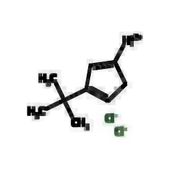 CC(C)(C)C1=CC[C]([Hf+2])=C1.[Cl-].[Cl-]